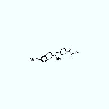 CCCN(CC1CCN(C(=O)NC(C)C)CC1)C1CCc2cc(OC)ccc2C1